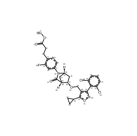 CC(C)(C)OC(=O)CCc1ncc(N2C(=O)[C@@H]3C[C@H]2C[C@H]3OCc2c(-c3c(Cl)cccc3Cl)noc2C2CC2)cc1F